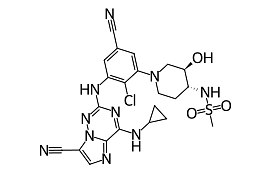 CS(=O)(=O)N[C@@H]1CCN(c2cc(C#N)cc(Nc3nc(NC4CC4)c4ncc(C#N)n4n3)c2Cl)C[C@H]1O